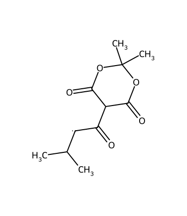 CC(C)[CH]C(=O)C1C(=O)OC(C)(C)OC1=O